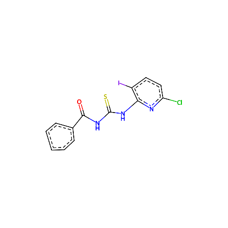 O=C(NC(=S)Nc1nc(Cl)ccc1I)c1ccccc1